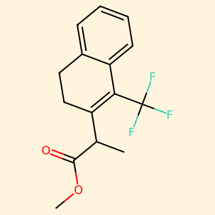 COC(=O)C(C)C1=C(C(F)(F)F)c2ccccc2CC1